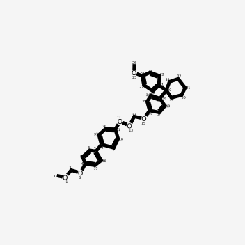 COCOc1ccc(-c2ccc(OOCOc3ccc(C4(c5ccc(OC)cc5)CCCCC4)cc3)cc2)cc1